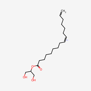 C=CCCCC/C=C\CCCCCCCC(=O)OC(CO)CO